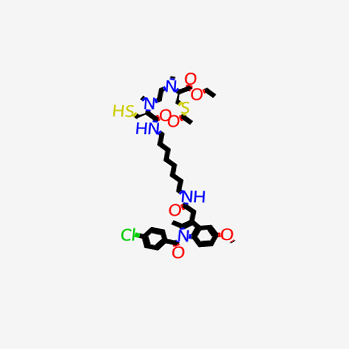 CCOC(=O)[C@@H](CSC(C)=O)N(C)CCN(C)[C@H](CS)C(=O)NCCCCCCCCNC(=O)Cc1c(C)n(C(=O)c2ccc(Cl)cc2)c2ccc(OC)cc12